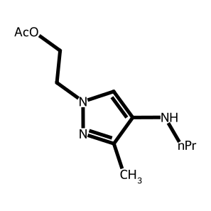 CCCNc1cn(CCOC(C)=O)nc1C